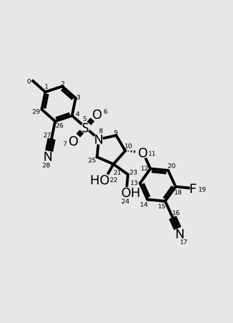 Cc1ccc(S(=O)(=O)N2C[C@H](Oc3ccc(C#N)c(F)c3)C(O)(CO)C2)c(C#N)c1